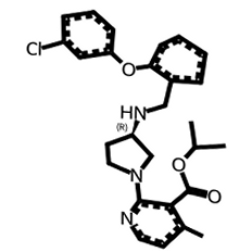 Cc1ccnc(N2CC[C@@H](NCc3ccccc3Oc3cccc(Cl)c3)C2)c1C(=O)OC(C)C